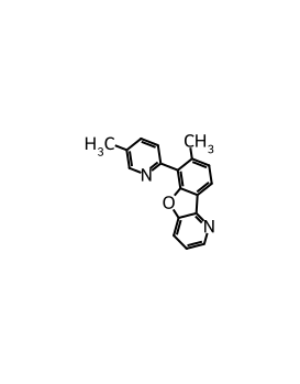 Cc1ccc(-c2c(C)ccc3c2oc2cccnc23)nc1